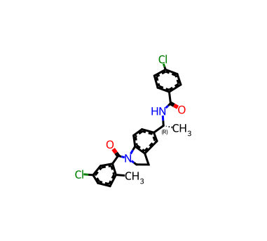 Cc1ccc(Cl)cc1C(=O)N1CCc2cc([C@@H](C)NC(=O)c3ccc(Cl)cc3)ccc21